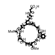 CNC(=O)C[C@@H]1NC(=O)c2csc(n2)-c2ccc(-c3nc(NC(=O)CCC(=O)O)cs3)nc2-c2csc(n2)-c2csc(n2)[C@H]([C@@H](O)c2ccccc2)NC(=O)CNC(=O)c2nc(sc2COC)C(C(C)C)NC(=O)c2nc1sc2C